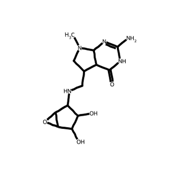 CN1CC(CNC2C(O)C(O)C3OC23)C2C(=O)NC(N)=NC21